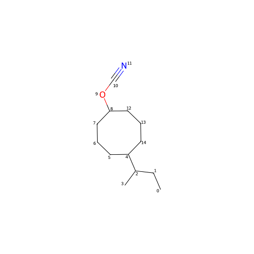 CCC(C)C1CCCC(OC#N)CCC1